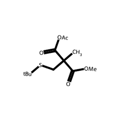 COC(=O)C(C)(CSC(C)(C)C)C(=O)OC(C)=O